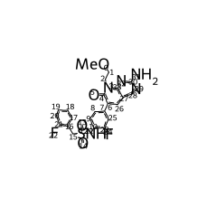 COCCn1c(=O)c(-c2ccc(NS(=O)(=O)Cc3ccccc3F)c(F)c2)cc2cnc(N)nc21